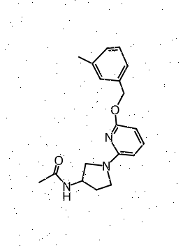 CC(=O)NC1CCN(c2cccc(OCc3cccc(C)c3)n2)C1